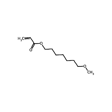 C=CC(=O)OCCCCCCCOC